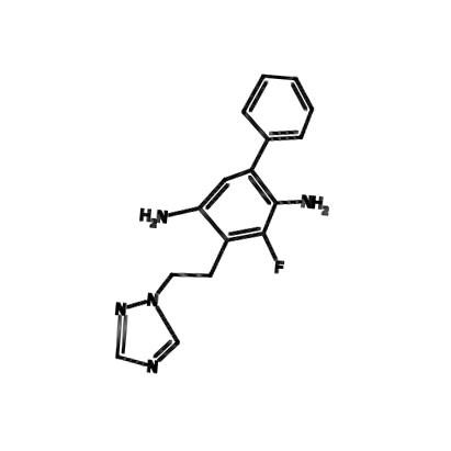 Nc1cc(-c2ccccc2)c(N)c(F)c1CCn1cncn1